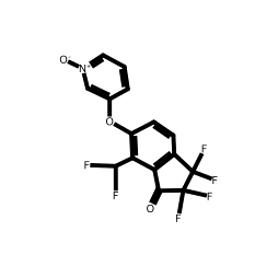 O=C1c2c(ccc(Oc3ccc[n+]([O-])c3)c2C(F)F)C(F)(F)C1(F)F